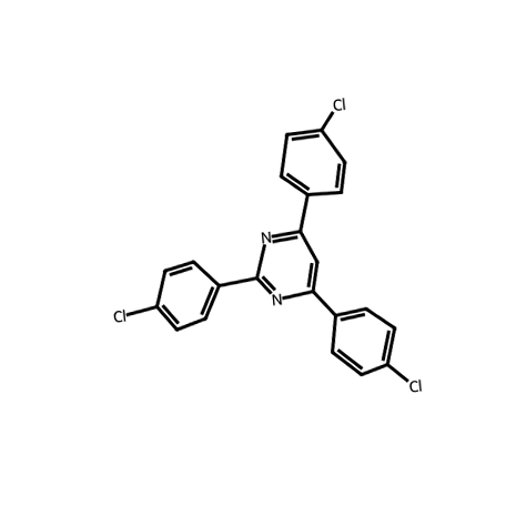 Clc1ccc(-c2cc(-c3ccc(Cl)cc3)nc(-c3ccc(Cl)cc3)n2)cc1